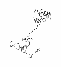 CC(C)(C)OC(=O)NCCCCCCCCC(=O)Nc1ccc2c(-c3cccc(C#N)c3)cn(C3CCC(F)(F)CC3)c2c1